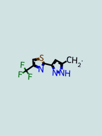 [CH2]c1cc(-c2nc(C(F)(F)F)cs2)n[nH]1